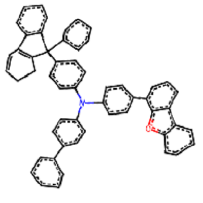 C1=CC2=C(CC1)C(c1ccccc1)(c1ccc(N(c3ccc(-c4ccccc4)cc3)c3ccc(-c4cccc5c4oc4ccccc45)cc3)cc1)c1ccccc12